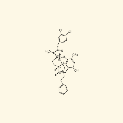 CC(=O)Oc1cc(O)c2c3c1O[C@H]1[C@H](N(C)C(=O)Cc4ccc(Cl)c(Cl)c4)CC[C@H]4[C@@H](C2)N(CCc2ccccc2)CC[C@@]341